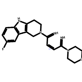 N=C(/C=C\C(=N)N1CCc2[nH]c3ccc(F)cc3c2C1)N1CCOCC1